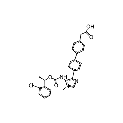 C[C@@H](OC(=O)Nc1c(-c2ccc(-c3ccc(CC(=O)O)cc3)cc2)ncn1C)c1ccccc1Cl